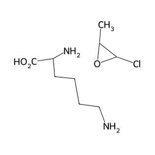 CC1OC1Cl.NCCCCC(N)C(=O)O